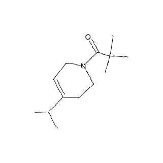 CC(C)C1=CCN(C(=O)C(C)(C)C)CC1